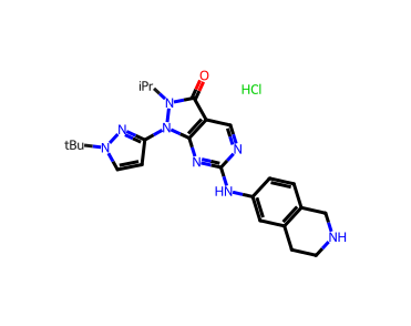 CC(C)n1c(=O)c2cnc(Nc3ccc4c(c3)CCNC4)nc2n1-c1ccn(C(C)(C)C)n1.Cl